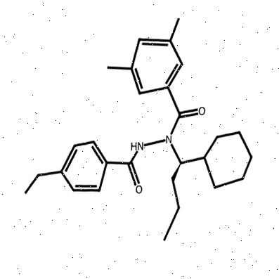 CCC[C@H](C1CCCCC1)N(NC(=O)c1ccc(CC)cc1)C(=O)c1cc(C)cc(C)c1